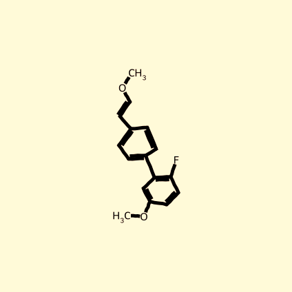 COC=Cc1ccc(-c2cc(OC)ccc2F)cc1